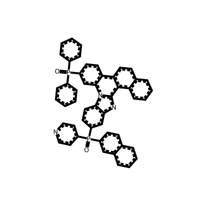 O=P(c1ccncc1)(c1ccc2ccccc2c1)c1ccc2c(c1)nc1c3c4ccccc4ccc3c3ccc(P(=O)(c4ccccc4)c4ccccc4)cc3n21